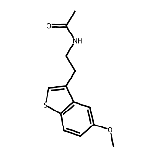 COc1ccc2scc(CCNC(C)=O)c2c1